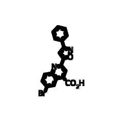 O=C(O)c1cc(-c2cc(-c3ccccc3)no2)nc2ccc(Br)cc12